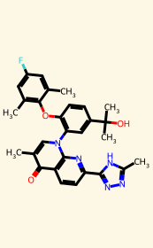 Cc1nnc(-c2ccc3c(=O)c(C)cn(-c4cc(C(C)(C)O)ccc4Oc4c(C)cc(F)cc4C)c3n2)[nH]1